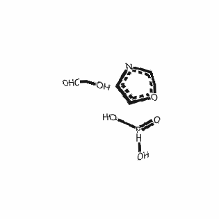 O=CO.O=[PH](O)O.c1cocn1